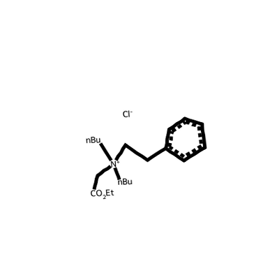 CCCC[N+](CCCC)(CCc1ccccc1)CC(=O)OCC.[Cl-]